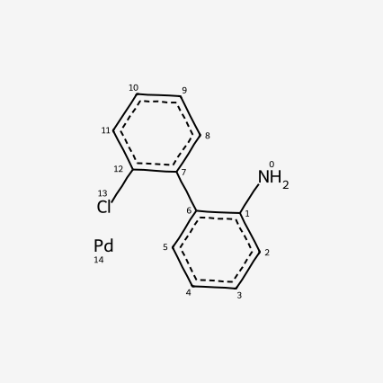 Nc1ccccc1-c1ccccc1Cl.[Pd]